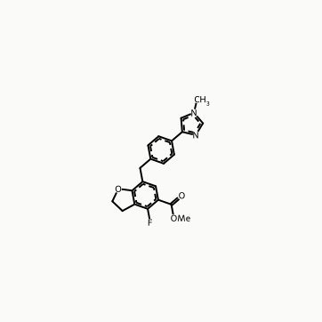 COC(=O)c1cc(Cc2ccc(-c3cn(C)cn3)cc2)c2c(c1F)CCO2